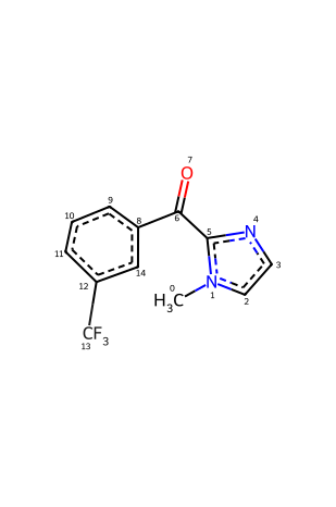 Cn1ccnc1C(=O)c1cccc(C(F)(F)F)c1